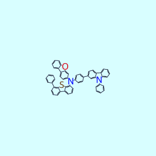 c1ccc(-c2cccc3c2sc2c(N(c4ccc(-c5ccc6c7ccccc7n(-c7ccccc7)c6c5)cc4)c4ccc5c(c4)oc4ccccc45)cccc23)cc1